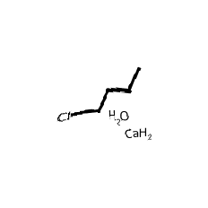 CCCCCl.O.[CaH2]